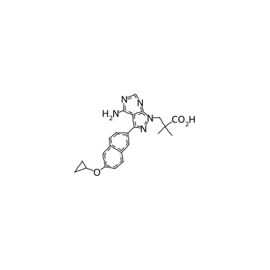 CC(C)(Cn1nc(-c2ccc3cc(OC4CC4)ccc3c2)c2c(N)ncnc21)C(=O)O